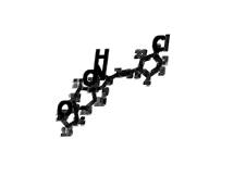 Clc1cccc(C#CC2CC3(CCC4(CCCO4)CC3)ON2)c1